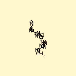 Cl.Cn1cc(-c2cnc3nnn(Cc4cccc(-c5ncc(-c6cnn(CCN7CCCC7)c6)cn5)c4)c3n2)cn1